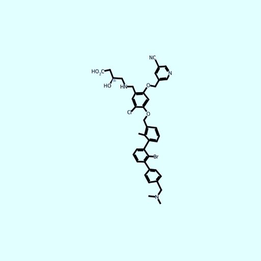 Cc1c(COc2cc(OCc3cncc(C#N)c3)c(CNC[C@@H](O)CC(=O)O)cc2Cl)cccc1-c1cccc(-c2ccc(CN(C)C)cc2)c1Br